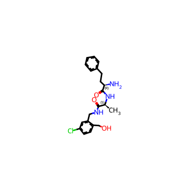 C[C@H](NC(=O)[C@H](N)CCc1ccccc1)C(=O)NCc1cc(Cl)ccc1CO